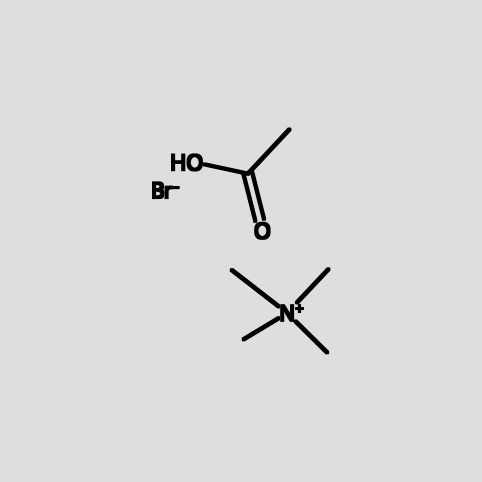 CC(=O)O.C[N+](C)(C)C.[Br-]